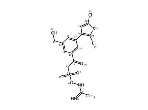 N=C(N)NOS(=O)(=O)CC(=O)c1cc(CO)cc(-c2cc(Cl)sc2Cl)c1